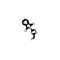 O=C1c2ccccc2C(=O)N1c1nnc(CF)s1